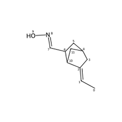 C/C=C1\CC2CC(/C=N/O)C1C2